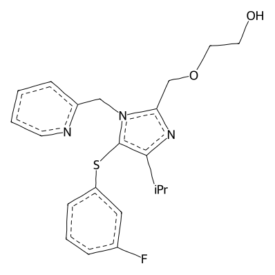 CC(C)c1nc(COCCO)n(Cc2ccccn2)c1Sc1cccc(F)c1